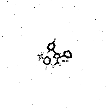 CN(C(=O)N1CC(c2cc(F)ccc2F)=C[C@@]1(CO)c1ccccc1)[C@H]1CCN(S(C)(=O)=O)C[C@H]1F